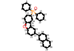 O=P(c1ccccc1)(c1ccccc1)c1ccc2oc3ccc(-c4ccc5ccccc5c4)cc3c2c1